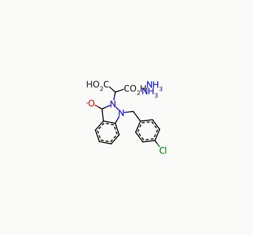 N.N.[O]C1c2ccccc2N(Cc2ccc(Cl)cc2)N1C(C(=O)O)C(=O)O